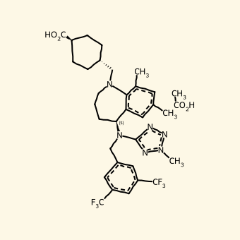 CC(=O)O.Cc1cc(C)c2c(c1)[C@@H](N(Cc1cc(C(F)(F)F)cc(C(F)(F)F)c1)c1nnn(C)n1)CCCN2C[C@H]1CC[C@H](C(=O)O)CC1